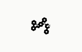 c1ccc(-c2cncc(-n3c4ccccc4c4cc5c(cc43)cc3c4ccccc4c4ccccc4n53)c2)cc1